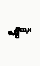 O=C(O)C1CCc2cc(C=C3CCC3)c(Cl)cc21